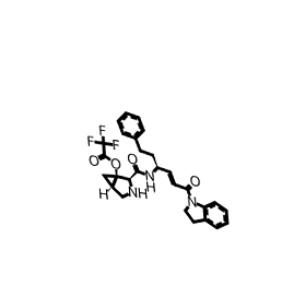 O=C(N[C@H](/C=C/C(=O)N1CCc2ccccc21)CCc1ccccc1)[C@H]1NC[C@H]2C[C@@]21OC(=O)C(F)(F)F